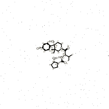 CC(C)[C@@H](NC(=O)[C@H]1CCC[C@@H]1O)C(=O)N1CC[C@](O)(c2ccc(Cl)cc2)C(C)(C)C1